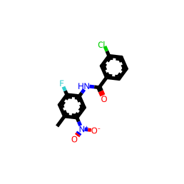 Cc1cc(F)c(NC(=O)c2cccc(Cl)c2)cc1[N+](=O)[O-]